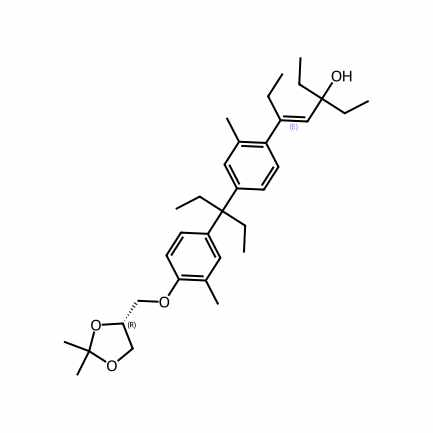 CC/C(=C\C(O)(CC)CC)c1ccc(C(CC)(CC)c2ccc(OC[C@@H]3COC(C)(C)O3)c(C)c2)cc1C